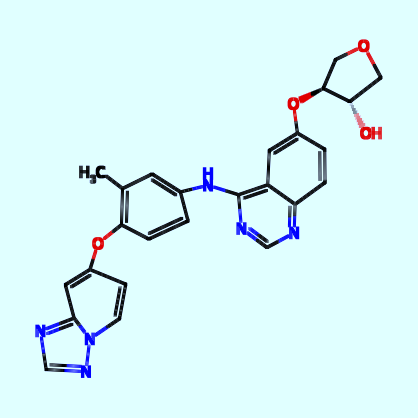 Cc1cc(Nc2ncnc3ccc(O[C@H]4COC[C@@H]4O)cc23)ccc1Oc1ccn2ncnc2c1